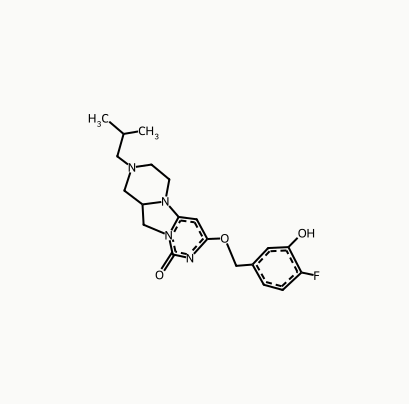 CC(C)CN1CCN2c3cc(OCc4ccc(F)c(O)c4)nc(=O)n3CC2C1